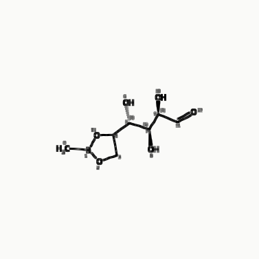 CB1OCC([C@H](O)[C@H](O)[C@@H](O)C=O)O1